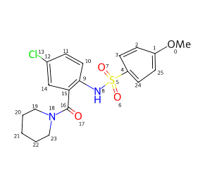 COc1ccc(S(=O)(=O)Nc2ccc(Cl)cc2C(=O)N2CCCCC2)cc1